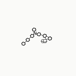 c1ccc(-c2ccc(-c3ccc(N(c4ccccc4)c4ccc(-c5ccc6c(c5)C5(c7ccccc7-6)C6CC7CC(C6)CC5C7)cc4)cc3)cc2)cc1